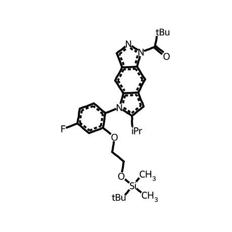 CC(C)c1cc2cc3c(cnn3C(=O)C(C)(C)C)cc2n1-c1ccc(F)cc1OCCO[Si](C)(C)C(C)(C)C